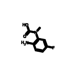 CN(C(=O)O)c1cc(F)ccc1N